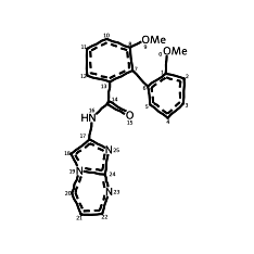 COc1ccccc1-c1c(OC)cccc1C(=O)Nc1cn2cccnc2n1